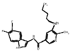 Cc1ncc(C(=O)Nc2c[nH]c3cc(F)c(F)cc23)cc1NCCCC(F)(F)F